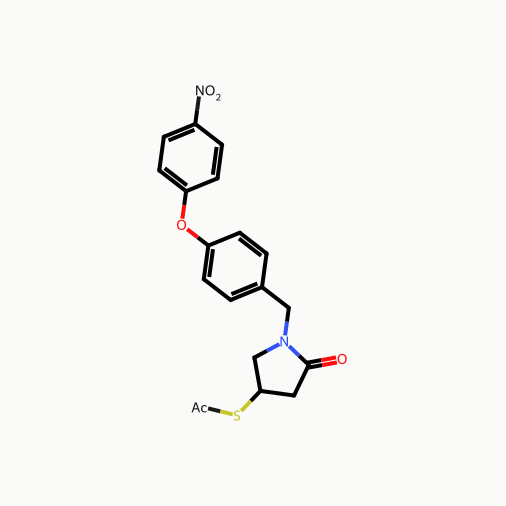 CC(=O)SC1CC(=O)N(Cc2ccc(Oc3ccc([N+](=O)[O-])cc3)cc2)C1